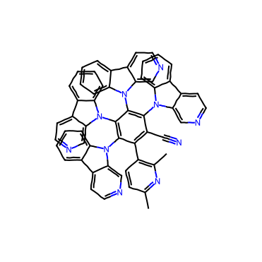 Cc1ccc(-c2c(C#N)c(-n3c4ccccc4c4ccncc43)c(-n3c4ccccc4c4ccncc43)c(-n3c4ccccc4c4ccncc43)c2-n2c3ccccc3c3ccncc32)c(C)n1